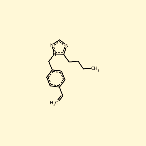 C=Cc1ccc(Cn2ncnc2CCCC)cc1